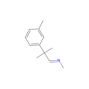 C/N=C/C(C)(C)c1cccc(C)c1